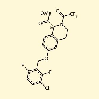 COC(=O)[C@H]1c2ccc(OCc3c(F)ccc(Cl)c3F)cc2CCN1C(=O)C(F)(F)F